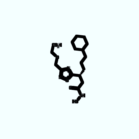 O=C(O)COCc1noc([C@H](CCCC2CCCCC2)CC(=O)NO)n1